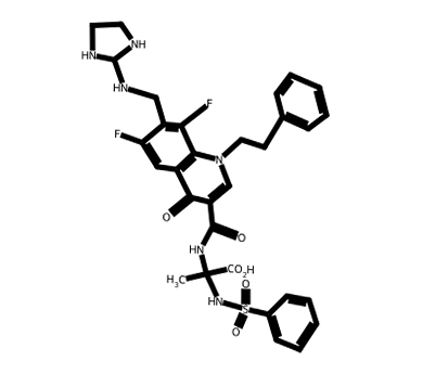 CC(NC(=O)c1cn(CCc2ccccc2)c2c(F)c(CNC3NCCN3)c(F)cc2c1=O)(NS(=O)(=O)c1ccccc1)C(=O)O